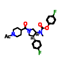 CC(=O)N1CCC(C(=O)N2C[C@@H](N(C)C(=O)Oc3ccc(F)cc3)[C@H](c3ccc(F)cc3)C2)CC1